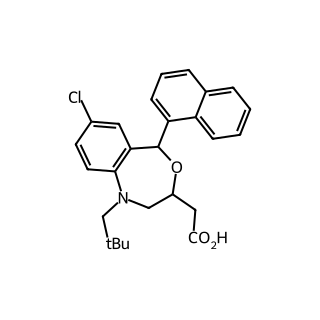 CC(C)(C)CN1CC(CC(=O)O)OC(c2cccc3ccccc23)c2cc(Cl)ccc21